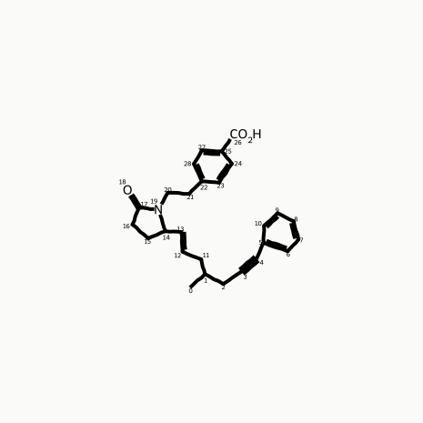 CC(CC#Cc1ccccc1)C/C=C/C1CCC(=O)N1CCc1ccc(C(=O)O)cc1